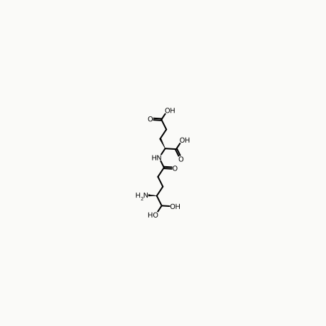 N[C@@H](CCC(=O)N[C@@H](CCC(=O)O)C(=O)O)C(O)O